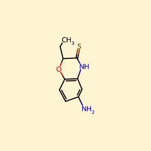 CCC1Oc2ccc(N)cc2NC1=S